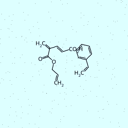 C=CCOC(=O)C(=C)C=CC(=O)O.C=Cc1ccccc1